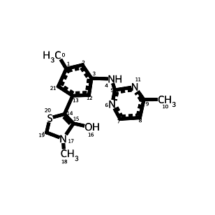 Cc1cc(Nc2nccc(C)n2)cc(C2=C(O)N(C)[CH]S2)c1